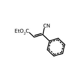 CCOC(=O)C=C(C#N)c1ccccc1